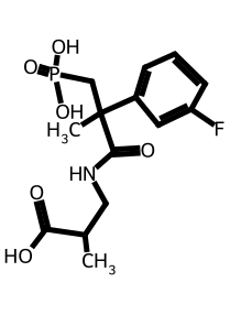 CC(CNC(=O)C(C)(CP(=O)(O)O)c1cccc(F)c1)C(=O)O